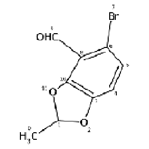 CC1Oc2ccc(Br)c(C=O)c2O1